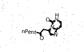 CCCCCC(=O)Cc1cnc2cc[nH]c(=O)n12